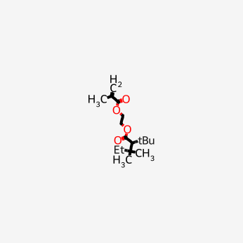 C=C(C)C(=O)OCCOC(=O)C(C(C)(C)C)C(C)(C)CC